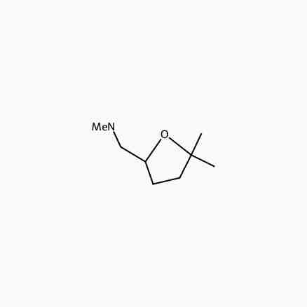 CNCC1CCC(C)(C)O1